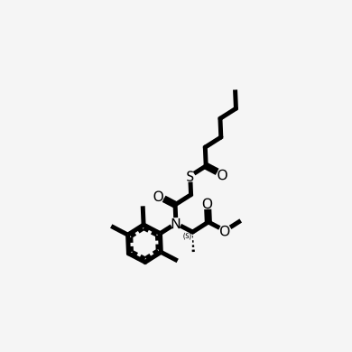 CCCCCC(=O)SCC(=O)N(c1c(C)ccc(C)c1C)[C@@H](C)C(=O)OC